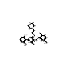 CCc1cccc(CC)c1-c1nc(C)c(COc2cc(C(C)C)ccc2C)c(OCCN2CCOCC2)n1